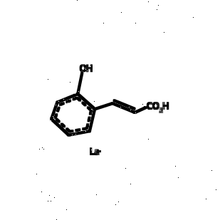 O=C(O)C=Cc1ccccc1O.[La]